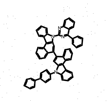 c1ccc(-c2ccc(-n3c4ccccc4c4c5ccccc5c(-c5cc6c(c7ccccc57)c5ccccc5n6-c5nc(-c6ccccc6)c6ccccc6n5)cc43)cc2)cc1